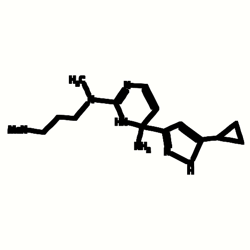 CNCCCN(C)C1=NC=CC(N)(c2cc(C3CC3)[nH]n2)N1